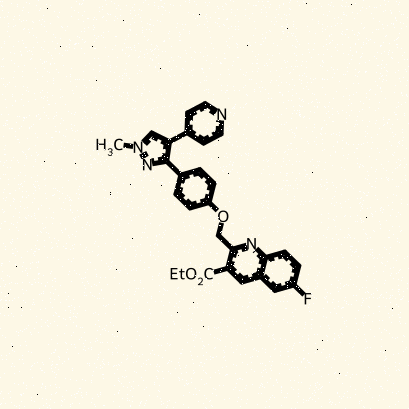 CCOC(=O)c1cc2cc(F)ccc2nc1COc1ccc(-c2nn(C)cc2-c2ccncc2)cc1